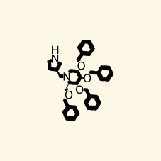 c1ccc(COC[C@H]2[C@@H](OCc3ccccc3)[C@H](OCc3ccccc3)[C@@H](OCc3ccccc3)CN2C[C@H]2CCNC2)cc1